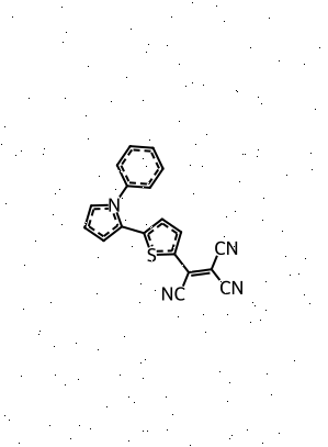 N#CC(C#N)=C(C#N)c1ccc(-c2cccn2-c2ccccc2)s1